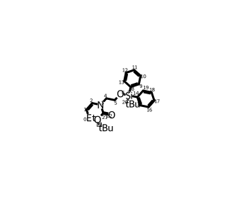 CC/C=C\N(CCO[Si](c1ccccc1)(c1ccccc1)C(C)(C)C)C(=O)OC(C)(C)C